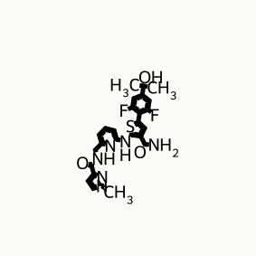 Cn1ccc(C(=O)NCc2cccc(Nc3sc(-c4c(F)cc(C(C)(C)O)cc4F)cc3C(N)=O)n2)n1